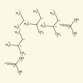 CCC.CCC(C)C.CCC(C)C.CCC(C)C.O=C(O)O.O=C(O)O